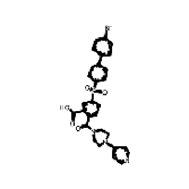 O=C(O)c1cc(S(=O)(=O)c2ccc(-c3ccc(Br)cc3)cc2)ccc1C(=O)N1CCN(c2ccncc2)CC1